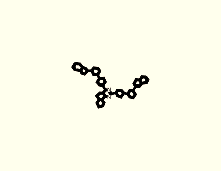 c1cc(-c2ccc(-c3nc(-c4ccc(-c5cccc(-c6ccc7ccccc7c6)c5)cc4)c4ccc5ccccc5c4n3)cc2)cc(-c2ccc3ccccc3c2)c1